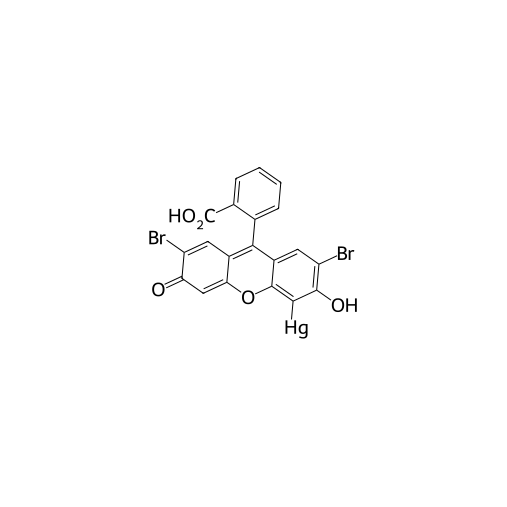 O=C(O)c1ccccc1-c1c2cc(Br)c(=O)cc-2oc2[c]([Hg])c(O)c(Br)cc12